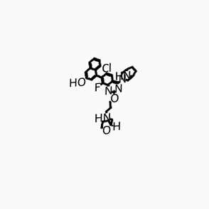 Oc1cc(-c2c(Cl)cc3c(N4CC5CCC(C4)N5)nc(OCCCN4C[C@H]5C[C@@H]4CO5)nc3c2F)c2ccccc2c1